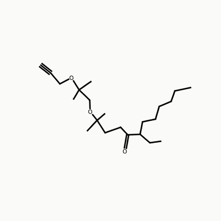 C#CCOC(C)(C)COC(C)(C)CCC(=O)C(CC)CCCCCC